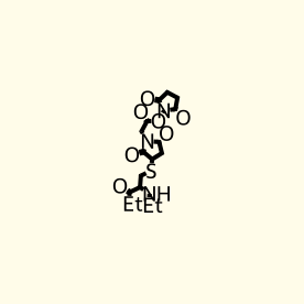 CCNC(CSC1CC(=O)N(CC(=O)ON2C(=O)CCC2=O)C1=O)C(=O)CC